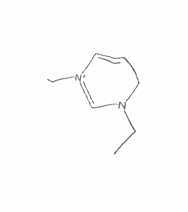 CCN1C=[N+](C)C=CC1